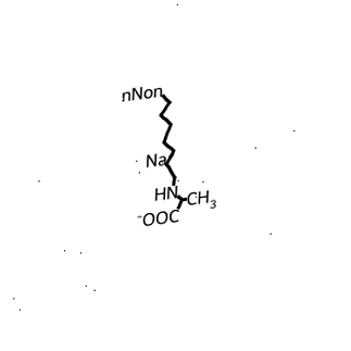 CCCCCCCCCCCCCCCCNC(C)C(=O)[O-].[Na+]